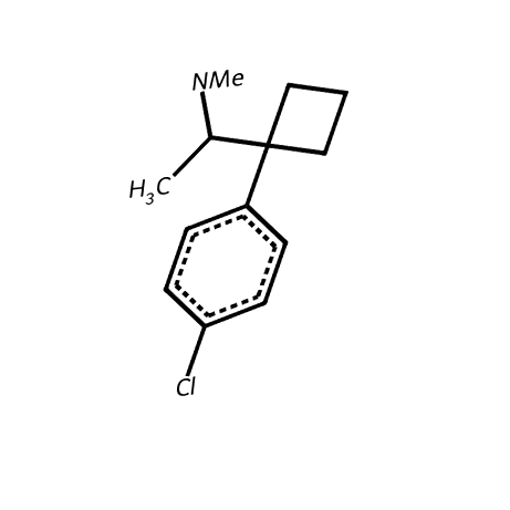 CNC(C)C1(c2ccc(Cl)cc2)CCC1